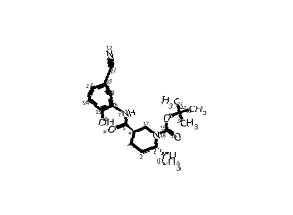 C[C@@H]1CC[C@@H](C(=O)Nc2cc(C#N)ccc2O)CN1C(=O)OC(C)(C)C